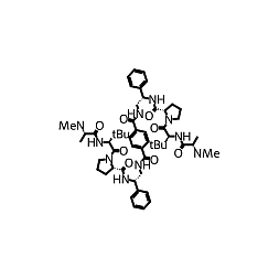 CN[C@@H](C)C(=O)N[C@H](C(=O)N1CCC[C@H]1C(=O)N[C@H](CNC(=O)c1ccc(C(=O)NC[C@@H](NC(=O)[C@@H]2CCCN2C(=O)[C@@H](NC(=O)[C@H](C)NC)C(C)(C)C)c2ccccc2)cc1)c1ccccc1)C(C)(C)C